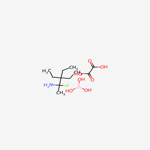 CCC(CC)(CC)C(C)(N)F.O=C(O)C(=O)O.OB(O)O